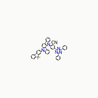 CC1(C)c2ccccc2-c2ccc(-n3c4ccccc4c4c3ccc3c5ccccc5n(-c5ccc(-c6nc(-c7ccccc7)nc(-c7ccccc7)n6)cc5C#N)c34)cc21